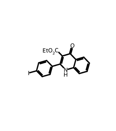 CCOC(=O)c1c(-c2ccc(I)cc2)[nH]c2ccccc2c1=O